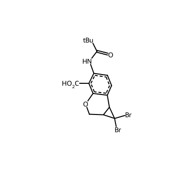 CC(C)(C)C(=O)Nc1ccc2c(c1C(=O)O)OCC1C2C1(Br)Br